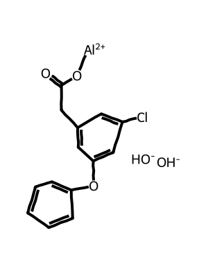 O=C(Cc1cc(Cl)cc(Oc2ccccc2)c1)[O][Al+2].[OH-].[OH-]